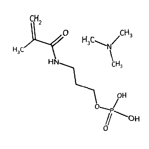 C=C(C)C(=O)NCCCOP(=O)(O)O.CN(C)C